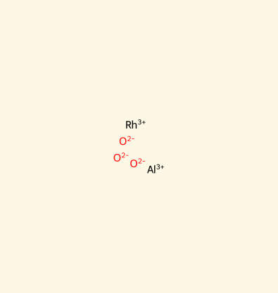 [Al+3].[O-2].[O-2].[O-2].[Rh+3]